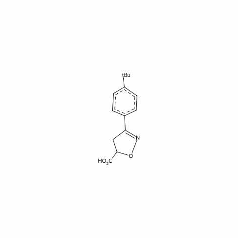 CC(C)(C)c1ccc(C2=NOC(C(=O)O)C2)cc1